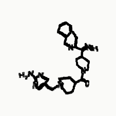 N=C(c1cc2ccccc2cn1)C1CCN(C(=O)C2CCN(Cc3cnc(N)nc3)CC2)CC1